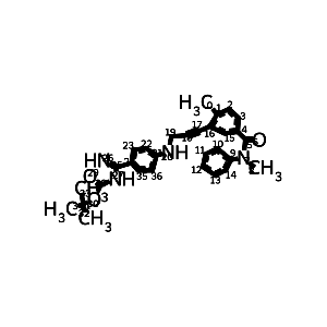 Cc1ccc(C(=O)N(C)c2ccccc2)cc1C#CCNc1ccc(C(=N)NC(=O)OC(C)(C)C)cc1